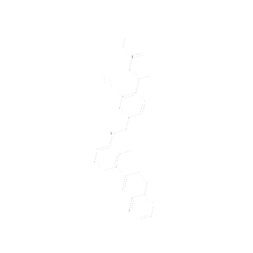 C=C(/C=C(\C)c1ncc(CNc2nccc(-c3cc4cccnc4cn3)c2F)cc1C#N)CC